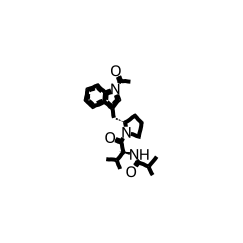 CC(=O)n1cc(C[C@@H]2CCCN2C(=O)[C@@H](NC(=O)C(C)C)C(C)C)c2ccccc21